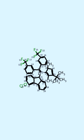 CC1=[C]([Zr+2](=[C](c2cccc(C(F)(F)F)c2)c2cccc(C(F)(F)F)c2)[CH]2c3ccccc3-c3ccccc32)C(C)C=C1C(C)(C)C.[Cl-].[Cl-]